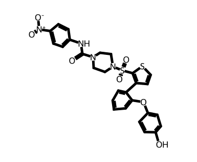 O=C(Nc1ccc([N+](=O)[O-])cc1)N1CCN(S(=O)(=O)c2sccc2-c2ccccc2Oc2ccc(O)cc2)CC1